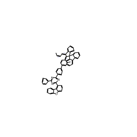 C\C=C/C=C1\C(=C2/C=CC(c3ccc(-c4nc(-c5ccccc5)nc(-c5cccc6oc7ccccc7c56)n4)cc3)=CC2C)C2(c3ccccc31)c1ccccc1-c1ccccc12